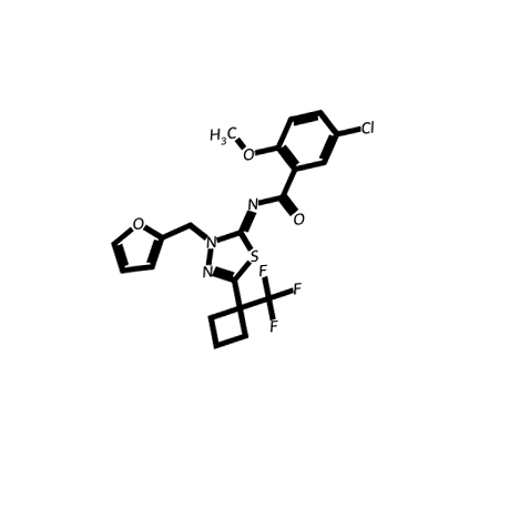 COc1ccc(Cl)cc1C(=O)/N=c1\sc(C2(C(F)(F)F)CCC2)nn1Cc1ccco1